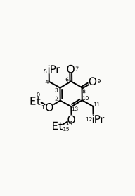 CCOC1=C(CC(C)C)C(=O)C(=O)C(CC(C)C)=C1OCC